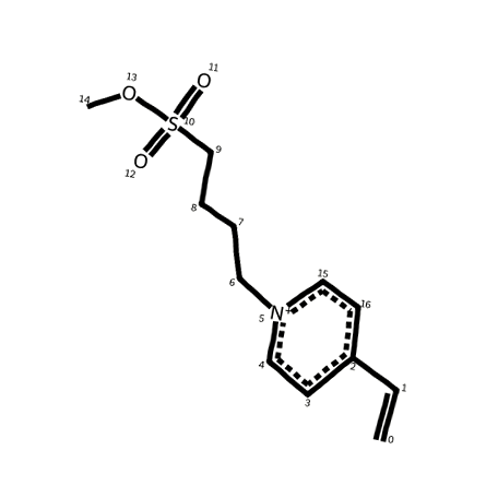 C=Cc1cc[n+](CCCCS(=O)(=O)OC)cc1